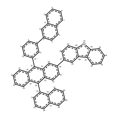 c1cc(-c2ccc3ccccc3c2)cc(-c2c3ccccc3c(-c3cccc4ccccc34)c3ccc(-c4ccc5oc6ccccc6c5c4)cc23)c1